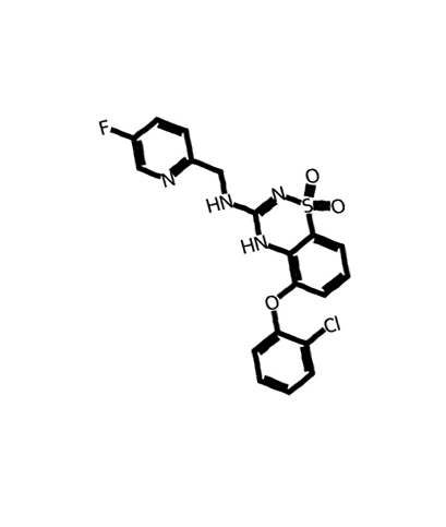 O=S1(=O)N=C(NCc2ccc(F)cn2)Nc2c(Oc3ccccc3Cl)cccc21